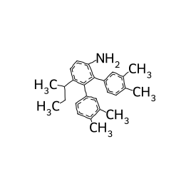 CCC(C)c1ccc(N)c(-c2ccc(C)c(C)c2)c1-c1ccc(C)c(C)c1